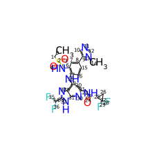 CCS(=O)(=O)Nc1cc(-c2cncn2C)ccc1Nc1cc(NC(=O)[C@@H]2CC2(F)F)nc2[nH]c(C(F)F)nc12